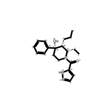 CCC[C@@H]1[C@H](CC)N(C(=O)c2ccn[nH]2)CC[C@@]1(O)c1ccccc1